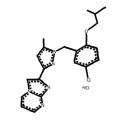 Cc1cc(-c2cn3cccnc3n2)nn1Cc1cc(Cl)ccc1OCC(C)C.Cl